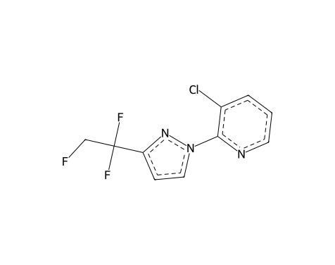 FCC(F)(F)c1ccn(-c2ncccc2Cl)n1